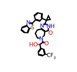 O=C([C@H](O)c1cccc(C(F)(F)F)c1)N1CCCc2nc(C3(c4cccc(-c5nc6ccccc6s5)c4)CC3)[nH]c(=O)c2C1